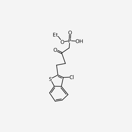 CCOP(=O)(O)CC(=O)CCc1sc2ccccc2c1Cl